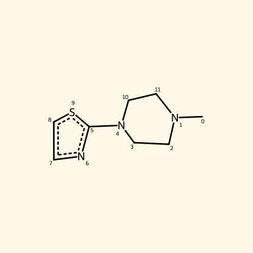 CN1CCN(c2nccs2)CC1